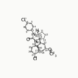 O=C1N(c2ccc(Cl)cc2)[C@@H]2CCC[C@]2(c2cccc(OC(F)(F)F)c2)N1c1ccc(Cl)cc1